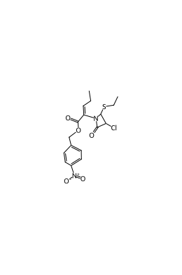 CCC=C(C(=O)OCc1ccc([N+](=O)[O-])cc1)N1C(=O)C(Cl)C1SCC